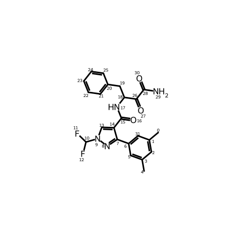 Cc1cc(C)cc(-c2nn(C(F)F)cc2C(=O)NC(Cc2ccccc2)C(=O)C(N)=O)c1